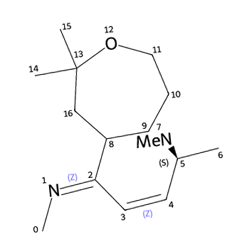 C/N=C(\C=C/[C@H](C)NC)C1CCCOC(C)(C)C1